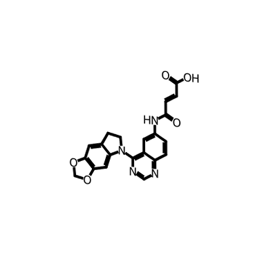 O=C(O)/C=C/C(=O)Nc1ccc2ncnc(N3CCc4cc5c(cc43)OCO5)c2c1